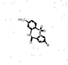 O=C(O)c1ccc2c(c1)NC(=O)c1cc(Br)cn1S2(=O)=O